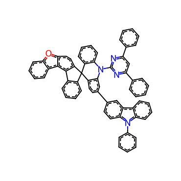 c1ccc(-c2cc(-c3ccccc3)nc(N3c4ccccc4C4(c5ccccc5-c5c4ccc4oc6ccccc6c54)c4ccc(-c5ccc6c(c5)c5ccccc5n6-c5ccccc5)cc43)n2)cc1